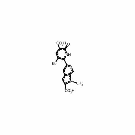 CCc1cc(C(=O)O)c(=O)[nH]c1-c1cc2cc(C(=O)O)n(C)c2cn1